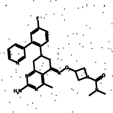 Cc1nc(N)nc2c1/C(=N/OC1CN(C(=O)N(C)C)C1)CC(c1ccc(F)cc1-c1cccnc1)C2